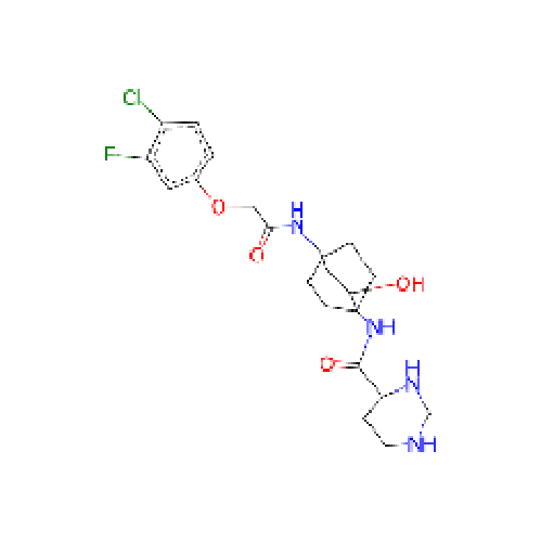 O=C(COc1ccc(Cl)c(F)c1)NC12CCC(NC(=O)C3CCNCN3)(CC1)C(O)C2